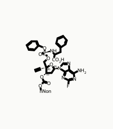 C#C[C@]1(CO[P@@](=O)(NC(Cc2ccccc2)C(=O)O)Oc2ccccc2)O[C@@H](n2cnc3c(N)nc(F)nc32)C[C@@H]1OC(=O)OCCCCCCCCC